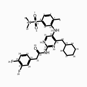 Cc1ccc(S(=O)(=O)N(C)C)cc1Nc1cnc(NC(=O)Cc2ccc(F)c(F)c2)nc1CC1CCCCC1